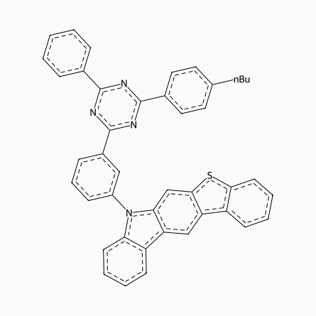 CCCCc1ccc(-c2nc(-c3ccccc3)nc(-c3cccc(-n4c5ccccc5c5cc6c(cc54)sc4ccccc46)c3)n2)cc1